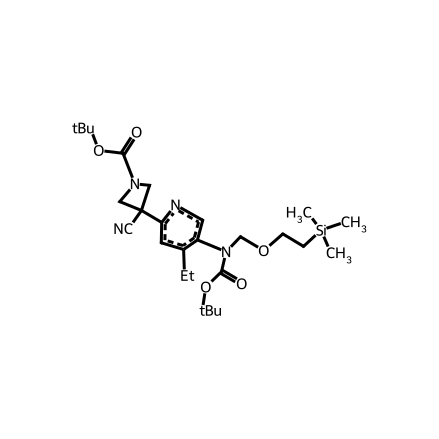 CCc1cc(C2(C#N)CN(C(=O)OC(C)(C)C)C2)ncc1N(COCC[Si](C)(C)C)C(=O)OC(C)(C)C